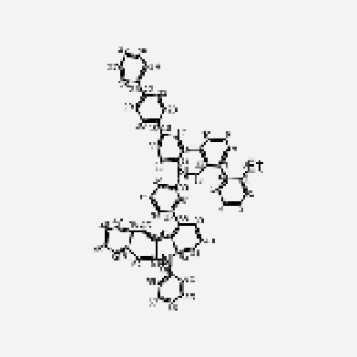 CCc1ccccc1-c1ccccc1CN(c1ccc(-c2ccc(-c3ccccc3)cc2)cc1)c1cccc(-c2cccc3c2c2cc4ccccc4cc2n3-c2ccccc2)c1